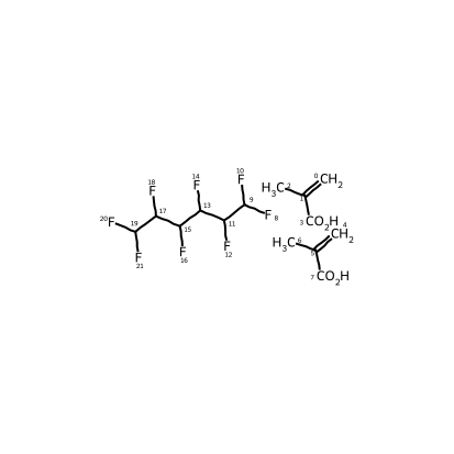 C=C(C)C(=O)O.C=C(C)C(=O)O.FC(F)C(F)C(F)C(F)C(F)C(F)F